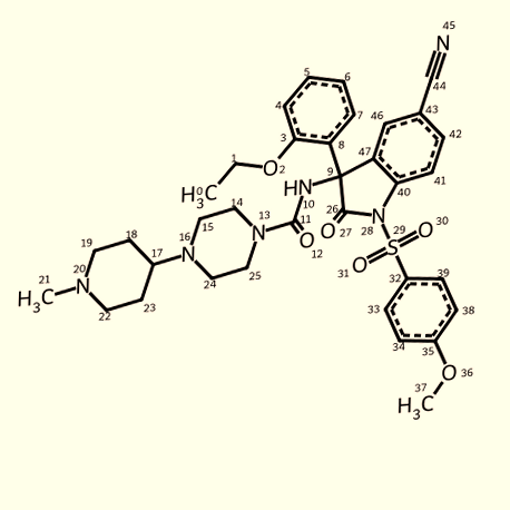 CCOc1ccccc1C1(NC(=O)N2CCN(C3CCN(C)CC3)CC2)C(=O)N(S(=O)(=O)c2ccc(OC)cc2)c2ccc(C#N)cc21